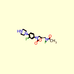 CC(=O)N(F)C[C@@H]1CN(c2ccc(N3CCNCC3)c(F)c2)C(=O)O1